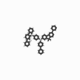 CC1(C)c2ccc(-c3ccccc3)cc2-c2ccc(N(c3ccc(-c4ccccc4)cc3)c3ccc(-n4c5ccccc5c5ccc6c7ccccc7oc6c54)cc3)cc21